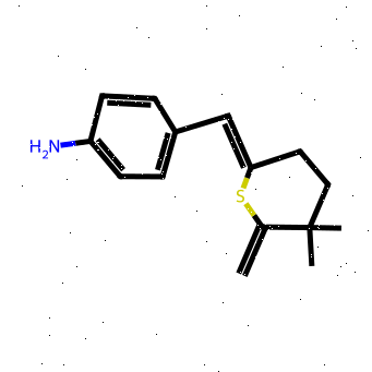 C=C1S/C(=C\c2ccc(N)cc2)CCC1(C)C